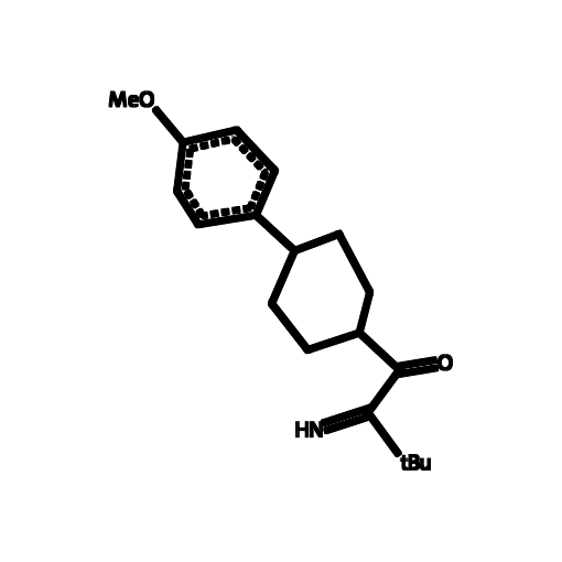 COc1ccc(C2CCC(C(=O)C(=N)C(C)(C)C)CC2)cc1